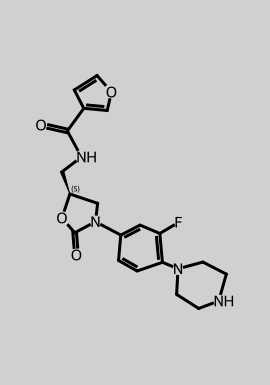 O=C(NC[C@H]1CN(c2ccc(N3CCNCC3)c(F)c2)C(=O)O1)c1ccoc1